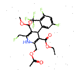 CCOC(=O)C1=C(COC(C)=O)NC(CF)=C(C(=O)OC)C1c1cc(F)cc(F)c1C(F)(F)F